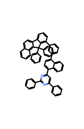 c1ccc(-c2cc(-c3ccc(-c4cccc(-c5cccc6c5C(c5ccccc5)(c5ccccc5)c5c-6ccc6ccccc56)c4)c4ccccc34)nc(-c3ccccc3)n2)cc1